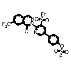 CCS(=O)(=O)c1cc(-c2ccc(OS(=O)(=O)F)cc2)cnc1-n1ncc2ccc(C(F)(F)F)cc2c1=O